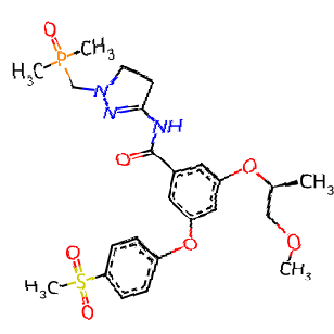 COC[C@H](C)Oc1cc(Oc2ccc(S(C)(=O)=O)cc2)cc(C(=O)NC2=NN(CP(C)(C)=O)CC2)c1